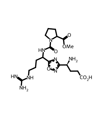 COC(=O)C1CCCN1C(=O)NC(CCCNC(=N)N)c1nc([C@@H](N)CCC(=O)O)no1